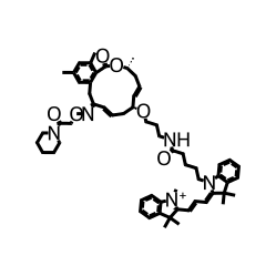 Cc1cc(C)c2c(c1)CC(=NOCC(=O)N1CCCCC1)/C=C/C[C@H](OCCCNC(=O)CCCCN1/C(=C\C=C\C3=[N+](C)c4ccccc4C3(C)C)C(C)(C)c3ccccc31)/C=C/C[C@@H](C)OC2=O